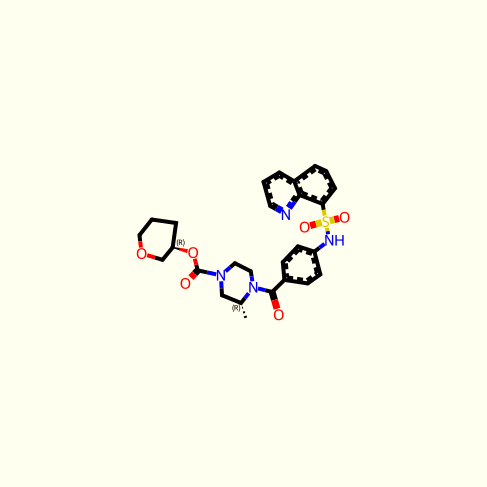 C[C@@H]1CN(C(=O)O[C@@H]2CCCOC2)CCN1C(=O)c1ccc(NS(=O)(=O)c2cccc3cccnc23)cc1